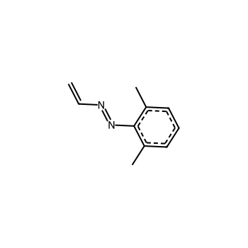 C=CN=Nc1c(C)cccc1C